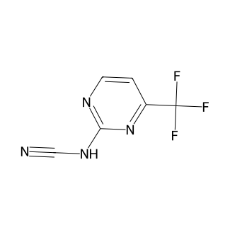 N#CNc1nccc(C(F)(F)F)n1